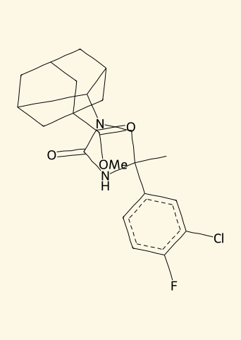 COC(=O)C12CC3CC(C1)C(N1CC(C)(c4ccc(F)c(Cl)c4)NC1=O)C(C3)C2